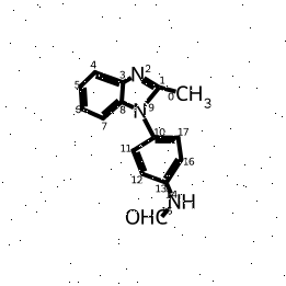 Cc1nc2ccccc2n1-c1ccc(NC=O)cc1